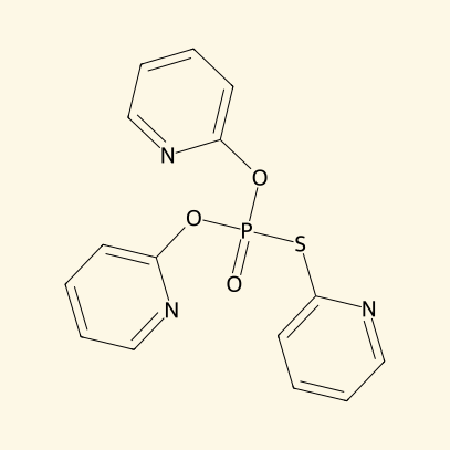 O=P(Oc1ccccn1)(Oc1ccccn1)Sc1ccccn1